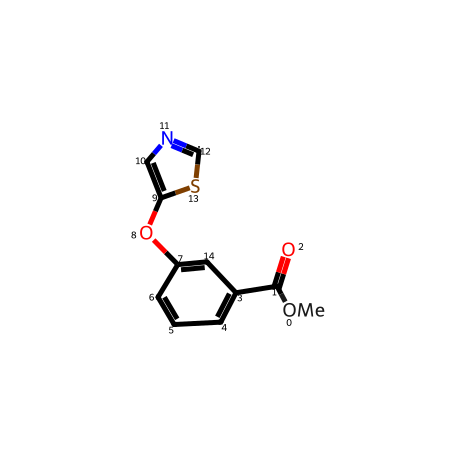 COC(=O)c1cccc(Oc2cn[c]s2)c1